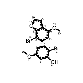 COc1ccc(Br)c(O)c1.COc1ccc(Br)c2occc12